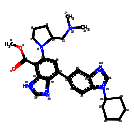 COC(=O)c1c(N2CCCC2CN(C)C)cc(-c2ccc3c(c2)ncn3C2CCCCC2)c2nc[nH]c12